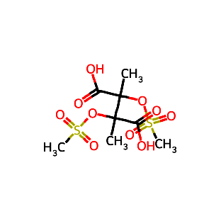 CC(OS(C)(=O)=O)(C(=O)O)C(C)(OS(C)(=O)=O)C(=O)O